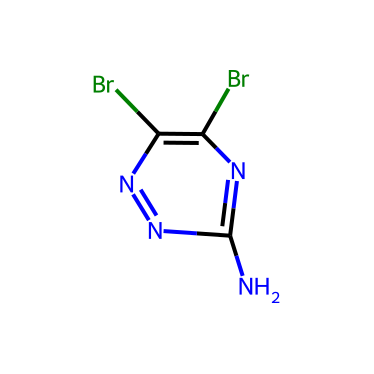 Nc1nnc(Br)c(Br)n1